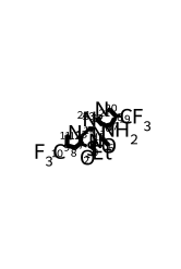 CCS(=O)(=NC(N)=O)c1cc(C(F)(F)F)cnc1-c1nc2cc(C(F)(F)F)cnc2n1C